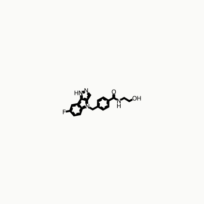 O=C(NCCO)c1ccc(Cn2c3ccc(F)cc3c3[nH]ncc32)cc1